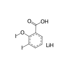 O=C(O)c1cccc(I)c1OI.[LiH]